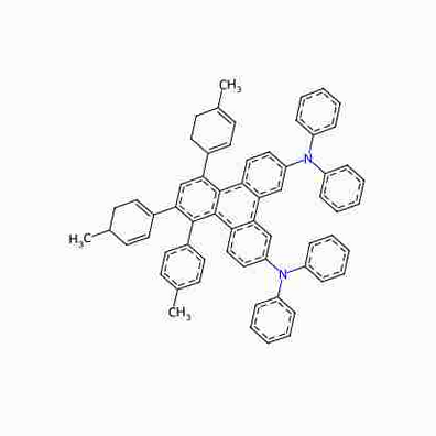 CC1=CC=C(c2cc(C3=CCC(C)C=C3)c(-c3ccc(C)cc3)c3c4ccc(N(c5ccccc5)c5ccccc5)cc4c4cc(N(c5ccccc5)c5ccccc5)ccc4c23)CC1